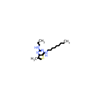 C=CCNc1nc(NCCCCCCCCC)c2scc(C)c2n1